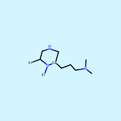 CCC1CN[CH2][Ga]([CH2]CCN(C)C)[N]1CC